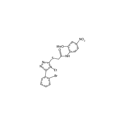 CCn1c(SCC(=O)Nc2ccc([N+](=O)[O-])cc2OC)nnc1-c1ccccc1Br